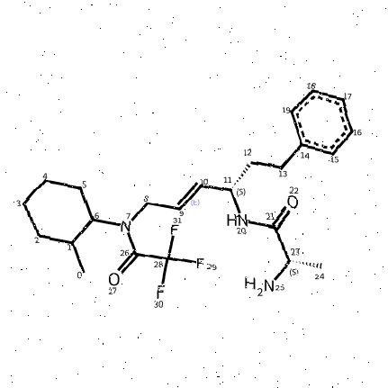 CC1CCCCC1N(C/C=C/[C@H](CCc1ccccc1)NC(=O)[C@H](C)N)C(=O)C(F)(F)F